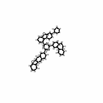 c1ccc(-c2ccc3c(c2)oc2cccc(-c4nc(-c5ccc6cc7c(cc6c5)oc5ccccc57)nc(-c5ccc6ccc7ccccc7c6c5)n4)c23)cc1